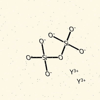 [O-][Si]([O-])([O-])O[Si]([O-])([O-])[O-].[Y+3].[Y+3]